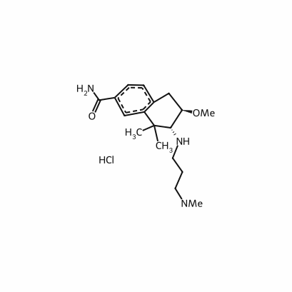 CNCCCN[C@H]1[C@H](OC)Cc2ccc(C(N)=O)cc2C1(C)C.Cl